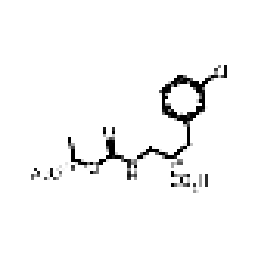 CC(=O)O[C@H](C)OC(=O)NC[C@H](Cc1cccc(Cl)c1)C(=O)O